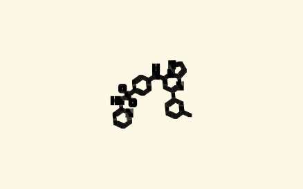 Cc1cccc(-c2cc(Nc3ccc(S(=O)(=O)Nc4ccccn4)cc3)n3nccc3n2)c1